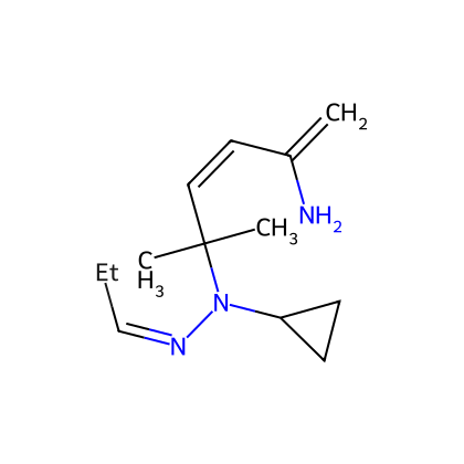 C=C(N)/C=C\C(C)(C)N(/N=C\CC)C1CC1